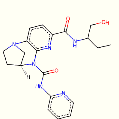 CCC(CO)NC(=O)c1ccc2c(n1)N(C(=O)Nc1ccccn1)[C@H]1CCN2C1